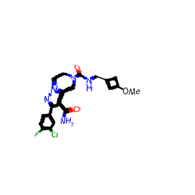 CO[C@H]1C[C@@H](CNC(=O)N2CCn3nc(-c4ccc(F)c(Cl)c4)c(C(N)=O)c3C2)C1